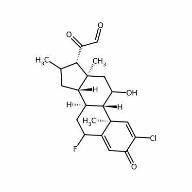 CC1C[C@H]2[C@@H]3CC(F)C4=CC(=O)C(Cl)=C[C@]4(C)[C@H]3C(O)C[C@]2(C)[C@H]1C(=O)C=O